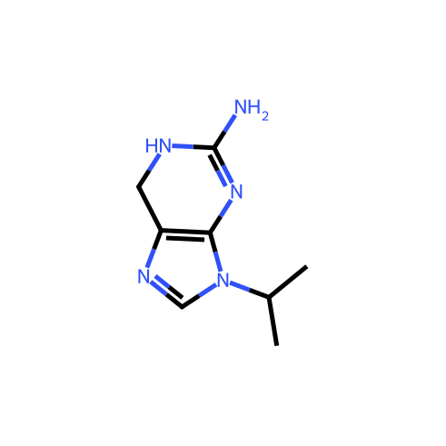 CC(C)n1cnc2c1N=C(N)NC2